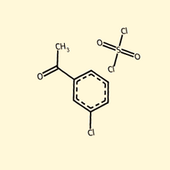 CC(=O)c1cccc(Cl)c1.O=S(=O)(Cl)Cl